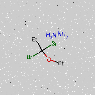 CCOC(Br)(Br)CC.N.N